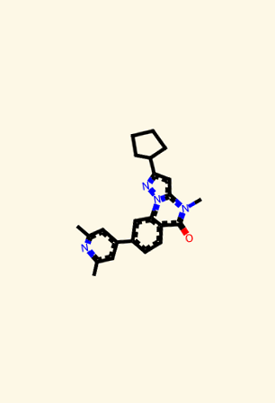 Cc1cc(-c2ccc3c(=O)n(C)c4cc(C5CCCC5)nn4c3c2)cc(C)n1